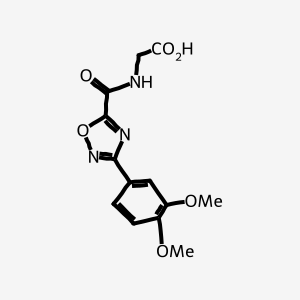 COc1ccc(-c2noc(C(=O)NCC(=O)O)n2)cc1OC